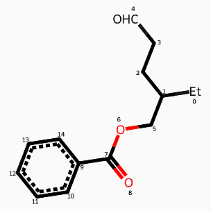 CCC(CCC=O)COC(=O)c1ccccc1